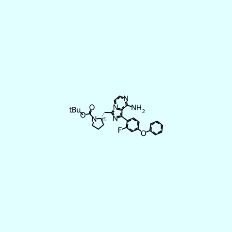 CC(C)(C)OC(=O)N1CCC[C@H]1Cc1nc(-c2ccc(Oc3ccccc3)cc2F)c2c(N)nccn12